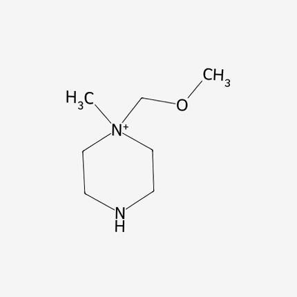 COC[N+]1(C)CCNCC1